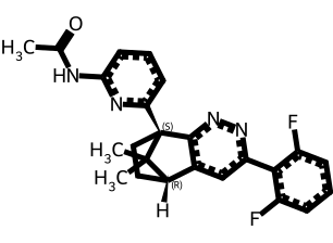 CC(=O)Nc1cccc([C@@]23CC[C@@H](c4cc(-c5c(F)cccc5F)nnc42)C3(C)C)n1